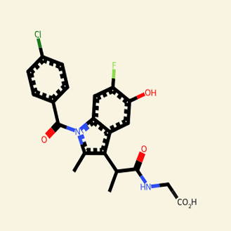 Cc1c(C(C)C(=O)NCC(=O)O)c2cc(O)c(F)cc2n1C(=O)c1ccc(Cl)cc1